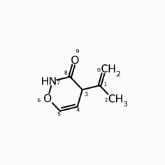 C=C(C)C1C=CONC1=O